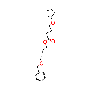 O=C(CCCOC1CCCC1)OCCCCOCc1ccccc1